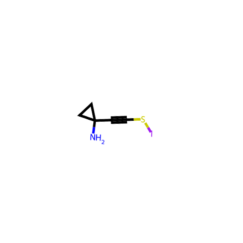 NC1(C#CSI)CC1